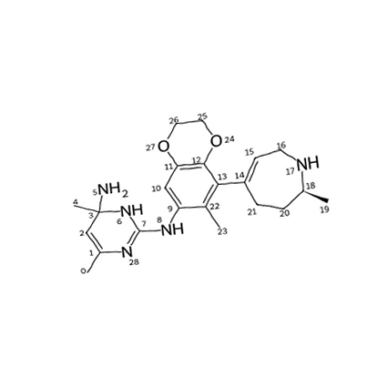 CC1=CC(C)(N)NC(Nc2cc3c(c(C4=CCN[C@@H](C)CC4)c2C)OCCO3)=N1